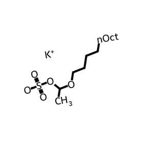 CCCCCCCCCCCCOC(C)OS(=O)(=O)[O-].[K+]